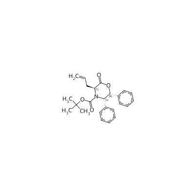 C=CC[C@H]1C(=O)O[C@H](c2ccccc2)[C@H](c2ccccc2)N1C(=O)OC(C)(C)C